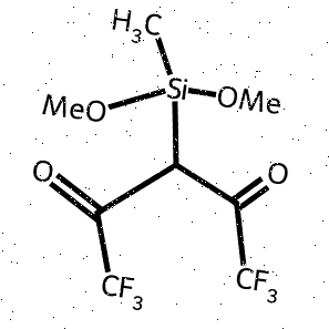 CO[Si](C)(OC)C(C(=O)C(F)(F)F)C(=O)C(F)(F)F